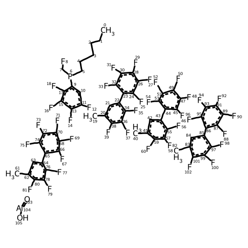 CCCCCCP(CF)c1cc(F)c(F)c(F)c1F.Cc1cc(-c2c(F)c(F)c(F)c(F)c2F)c(F)c(F)c1F.Cc1cc(-c2c(F)c(F)c(F)c(F)c2F)c(F)c(F)c1F.Cc1cc(-c2c(F)c(F)c(F)c(F)c2F)c(F)c(F)c1F.Cc1cc(-c2c(F)c(F)c(F)c(F)c2F)c(F)c(F)c1F.[O]=[Al][OH]